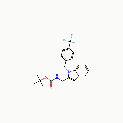 CC(C)(C)OC(=O)NCc1cc2ccccc2n1Cc1ccc(C(F)(F)F)cc1